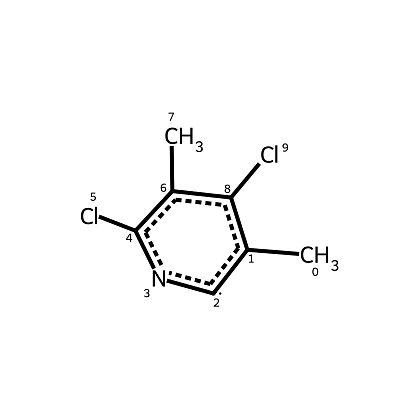 Cc1[c]nc(Cl)c(C)c1Cl